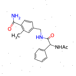 CC(=O)NC(C(=O)NCc1ccc(C(N)=O)c(C)c1)c1ccccc1